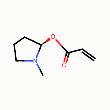 C=CC(=O)O[C@@H]1CCCN1C